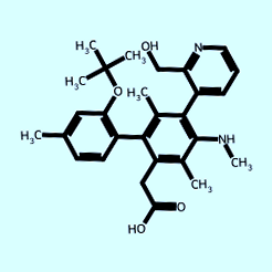 CNc1c(C)c(CC(=O)O)c(-c2ccc(C)cc2OC(C)(C)C)c(C)c1-c1cccnc1CO